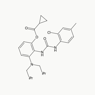 Cc1ccc(NC(=O)Nc2c(OC(=O)C3CC3)cccc2N(CC(C)C)CC(C)C)c(Cl)c1